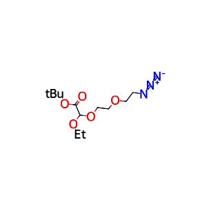 CCOC(OCCOCCN=[N+]=[N-])C(=O)OC(C)(C)C